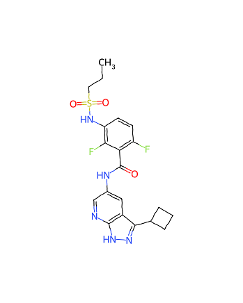 CCCS(=O)(=O)Nc1ccc(F)c(C(=O)Nc2cnc3[nH]nc(C4CCC4)c3c2)c1F